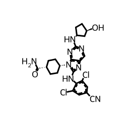 N#Cc1cc(Cl)c(Nc2nc3cnc(N[C@@H]4CC[C@@H](O)C4)nc3n2[C@H]2CC[C@@H](C(N)=O)CC2)c(Cl)c1